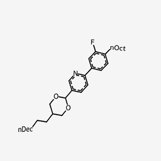 CCCCCCCCCCCCC1COC(c2ccc(-c3ccc(CCCCCCCC)c(F)c3)nc2)OC1